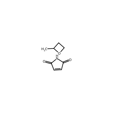 CC1CCO1.O=C1C=CC(=O)N1